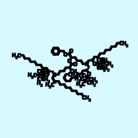 CCCCCCCCCC[C@@H](C)CN(CCCCC(C)C(=O)OC(CCCCN(C[C@@H](CCCCCCCCCC)O[Si](C)(C)C(C)(C)C)C[C@@H](CCCCCCCCCC)O[Si](C)(C)C(C)(C)C)C(=O)OCc1ccccc1)C[C@@H](CCCCCCCCCC)O[Si](C)(C)C(C)(C)C